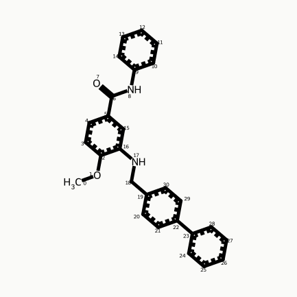 COc1ccc(C(=O)Nc2ccccc2)cc1NCc1ccc(-c2ccccc2)cc1